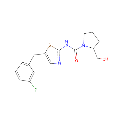 O=C(Nc1ncc(Cc2cccc(F)c2)s1)N1CCCC1CO